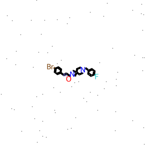 O=C(/C=C/c1ccc(Br)cc1)N1CC2(CCN(Cc3ccc(F)cc3)CC2)C1